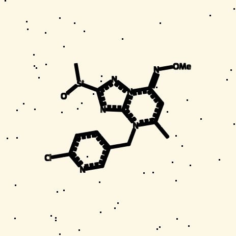 CO/N=c1\cc(C)n(Cc2ccc(Cl)nc2)c2nc([S+](C)[O-])nn12